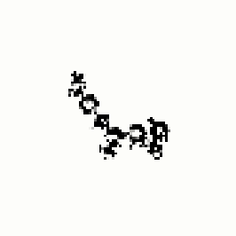 COC1(c2nccc(C)c2[C@H]2CCN(c3cc(N4C[C@@H](N5CCN(C(=O)OC(C)(C)C)CC5)[C@H]4C)nc(C(F)(F)F)n3)[C@H](C)C2)COC1